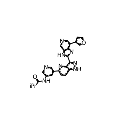 CC(C)C(=O)Nc1cncc(-c2ccc3[nH]nc(-c4nc5c(-c6ccoc6)cncc5[nH]4)c3n2)c1